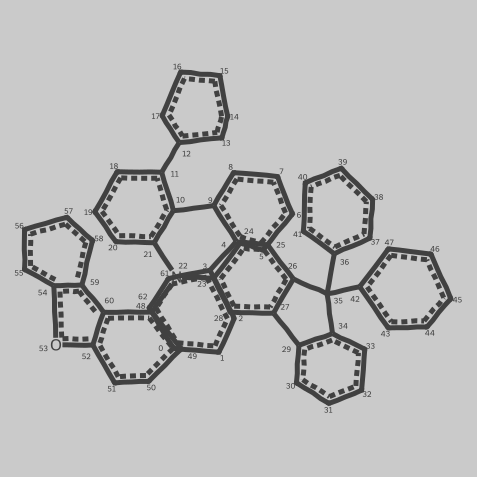 c1ccc(-c2ccccc2-c2c(-c3ccccc3)cccc2N(c2ccc3c(c2)-c2ccccc2C3(c2ccccc2)c2ccccc2)c2cccc3oc4ccccc4c23)cc1